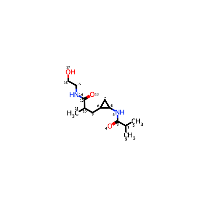 CC(C)C(=O)NC1CC1CC(C)C(=O)NCCO